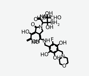 BC(O)(C=O)C(B)(O)C(C(=O)NC)N1CC(=C(/O)NCc2c(O)c(O)c(CN3CCOCC3)c(O)c2F)/C(=C(/O)C(=C)O)C1=O